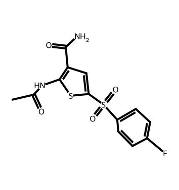 CC(=O)Nc1sc(S(=O)(=O)c2ccc(F)cc2)cc1C(N)=O